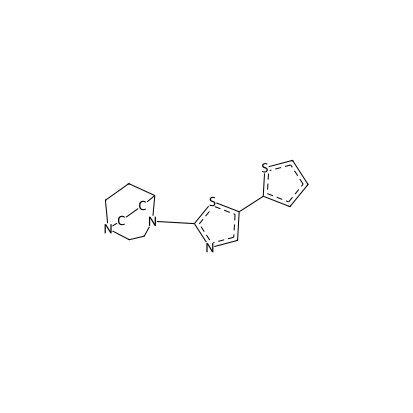 c1csc(-c2cnc(N3CCN4CCC3CC4)s2)c1